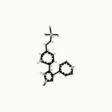 Cn1cc(-c2ccncc2)c(-c2ccc(CC[Si](C)(C)C)cn2)n1